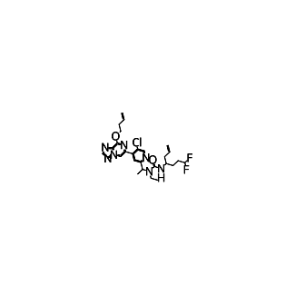 C=CCCOc1nc(-c2cc(C(C)N(CC)C(=O)NC(CC=C)CCC(F)F)ncc2Cl)cn2ncnc12